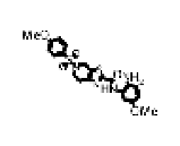 COc1ccc(S(=O)(=O)N2CCc3nc(C(=O)Nc4cc(OC)ccc4N)sc3C2)cc1